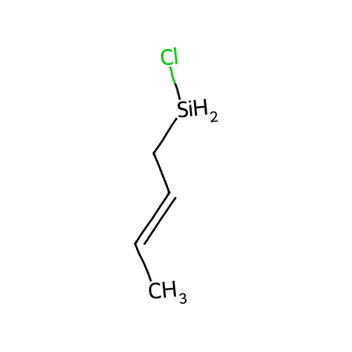 CC=CC[SiH2]Cl